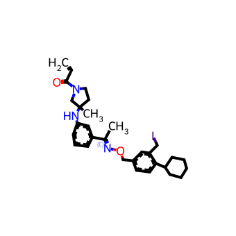 C=CC(=O)N1CCC(C)(Nc2cccc(/C(C)=N/OCc3ccc(C4CCCCC4)c(CI)c3)c2)C1